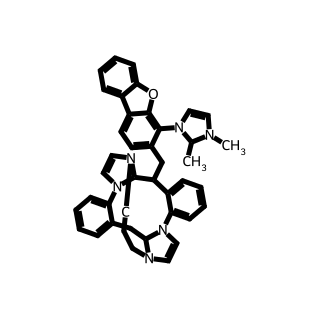 CC1N(C)C=CN1c1c(CC2c3ccccc3N3C=CN4CCCN5C=CN(c6ccccc6CC43)C25)ccc2c1oc1ccccc12